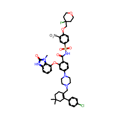 Cn1c(=O)[nH]c2cccc(Oc3cc(N4CCN(CC5=C(c6ccc(Cl)cc6)CC(C)(C)CC5)CC4)ccc3C(=O)NS(=O)(=O)c3ccc(OCC4(F)CCOCC4)c([N+](=O)[O-])c3)c21